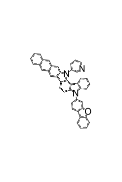 c1cncc(-n2c3cc4cc5ccccc5cc4cc3c3ccc4c(c5ccccc5n4-c4ccc5c(c4)oc4ccccc45)c32)c1